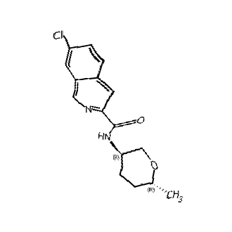 C[C@@H]1CC[C@@H](NC(=O)c2cc3ccc(Cl)cc3cn2)CO1